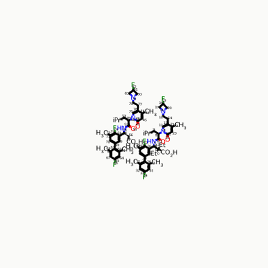 CCC(CC)(C(=O)O)[C@H](NC(=O)C(CC(C)C)n1cc(CCN2CC(F)C2)c(C)cc1=O)c1cc(-c2c(C)cc(F)cc2C)cc(C)c1F.Cc1cc(=O)n(C(CC(C)C)C(=O)N[C@@H](CC(=O)O)c2cc(-c3c(C)cc(F)cc3C)cc(C)c2F)cc1CCN1CC(F)C1